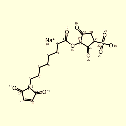 O=C(CCCCCCCN1C(=O)C=CC1=O)ON1C(=O)CC(S(=O)(=O)[O-])C1=O.[Na+]